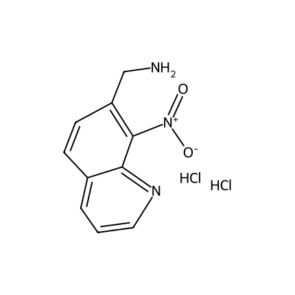 Cl.Cl.NCc1ccc2cccnc2c1[N+](=O)[O-]